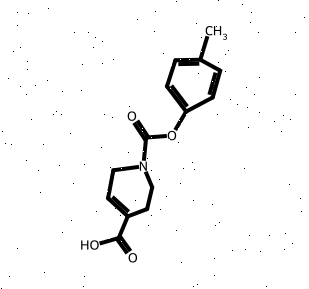 Cc1ccc(OC(=O)N2CC=C(C(=O)O)CC2)cc1